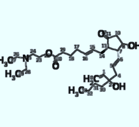 C=CC(O)(CC=C[C@H]1C(O)CC(=O)[C@@H]1CC=CCCCC(=O)OCCN(CC)CC)CCCC